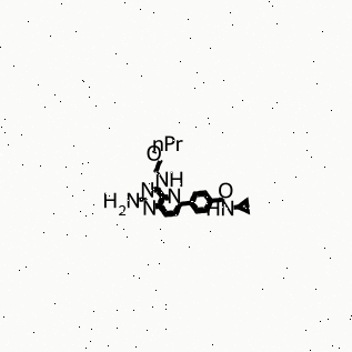 CCCOCCNc1nc(N)nc2ccc(-c3ccc(C(=O)NC4CC4)cc3)nc12